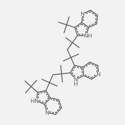 CC(C)(C)c1[nH]c2ncccc2c1C(C)(C)CC(C)(C)c1[nH]c2cnccc2c1C(C)(C)CC(C)(C)c1[nH]c2cccnc2c1C(C)(C)C